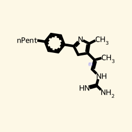 CCCCCc1ccc(C2=NC(C)=C(/C(C)=C/NC(=N)N)C2)cc1